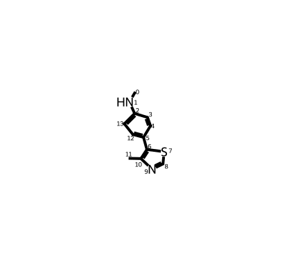 CNc1ccc(-c2scnc2C)cc1